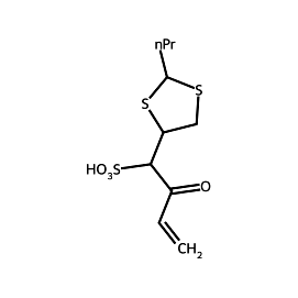 C=CC(=O)C(C1CSC(CCC)S1)S(=O)(=O)O